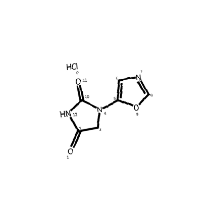 Cl.O=C1CN(c2cnco2)C(=O)N1